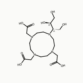 O=C(O)CN1CCN(CC(=O)O)CCN([C@@H](CO)[C@@H](O)CO)CCN(CC(=O)O)CC1